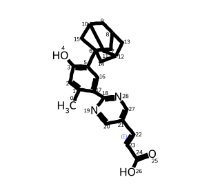 Cc1cc(O)c(C23CC4CC(CC(C4)C2)C3)cc1-c1ncc(/C=C/C(=O)O)cn1